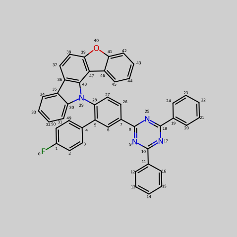 Fc1ccc(-c2cc(-c3nc(-c4ccccc4)nc(-c4ccccc4)n3)ccc2-n2c3ccccc3c3ccc4oc5ccccc5c4c32)cc1